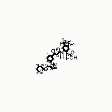 CN(C)c1cc(NC(=O)O)c(NC(=O)CC(=O)c2cccc(-n3nccc3COC3CCCCO3)c2)cc1C(F)(F)F